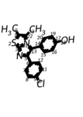 Cc1sc2nc(-c3ccc(Cl)cc3)c(-c3ccc(O)cc3)n2c1C